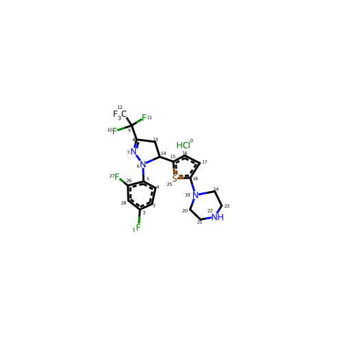 Cl.Fc1ccc(N2N=C(C(F)(F)C(F)(F)F)CC2c2ccc(N3CCNCC3)s2)c(F)c1